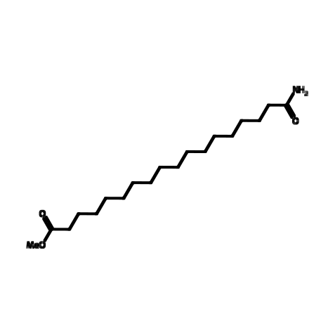 COC(=O)CCCCCCCCCCCCCCCCC(N)=O